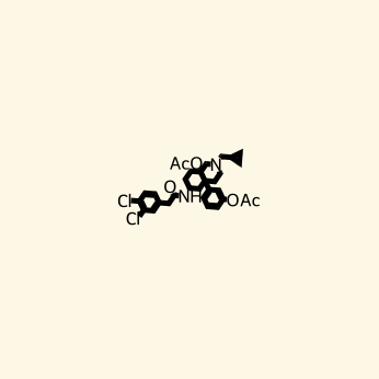 CC(=O)Oc1cccc(C23CCN(CC4CC4)CC2(OC(C)=O)CC[C@H](NC(=O)Cc2ccc(Cl)c(Cl)c2)C3)c1